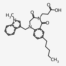 CCCCCc1ccc2c(c1)C(=O)N(CCC(=O)O)C(=O)CN2Cc1cn(C)c2ccccc12